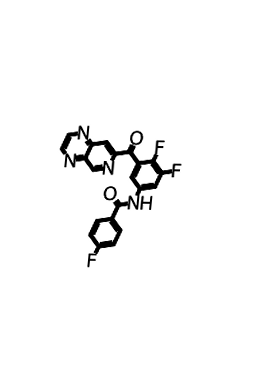 O=C(Nc1cc(F)c(F)c(C(=O)c2cc3nccnc3cn2)c1)c1ccc(F)cc1